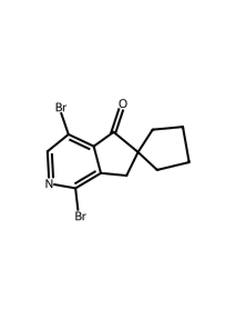 O=C1c2c(Br)cnc(Br)c2CC12CCCC2